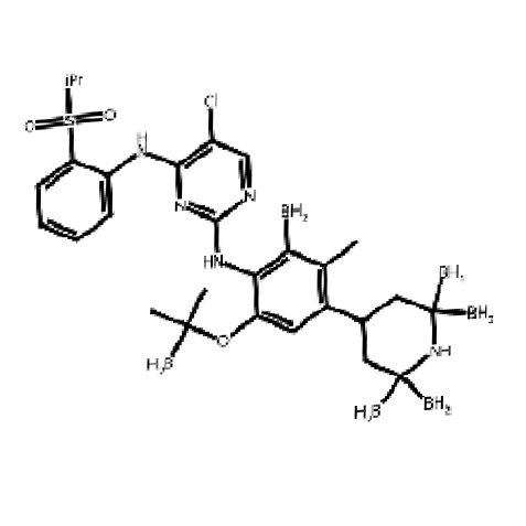 Bc1c(C)c(C2CC(B)(B)NC(B)(B)C2)cc(OC(B)(C)C)c1Nc1ncc(Cl)c(Nc2ccccc2S(=O)(=O)C(C)C)n1